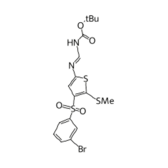 CSc1sc(/N=C/NC(=O)OC(C)(C)C)cc1S(=O)(=O)c1cccc(Br)c1